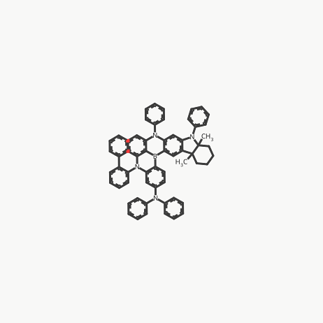 CC12CCCCC1(C)N(c1ccccc1)c1cc3c(cc12)B1c2ccc(N(c4ccccc4)c4ccccc4)cc2N(c2ccccc2-c2ccccc2)c2cccc(c21)N3c1ccccc1